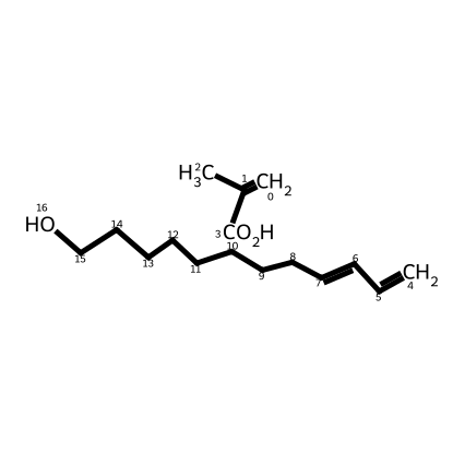 C=C(C)C(=O)O.C=CC=CCCCCCCCCO